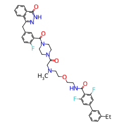 CCc1cccc(-c2cc(F)c(C(=O)NCCOCCN(C)CC(=O)N3CCN(C(=O)c4cc(Cc5n[nH]c(=O)c6ccccc56)ccc4F)CC3)c(F)c2)c1